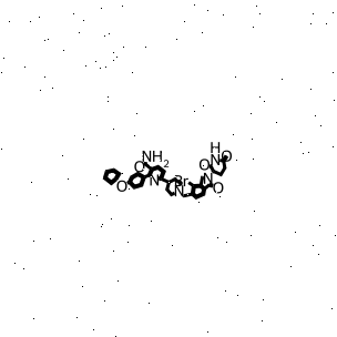 NC(=O)c1ccc(C2CCN(Cc3ccc4c(c3Br)CN(C3CCC(=O)NC3=O)C4=O)CC2)nc1-c1ccc(Oc2ccccc2)cc1